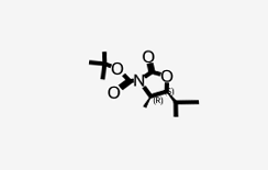 CC(C)[C@@H]1OC(=O)N(C(=O)OC(C)(C)C)[C@@H]1C